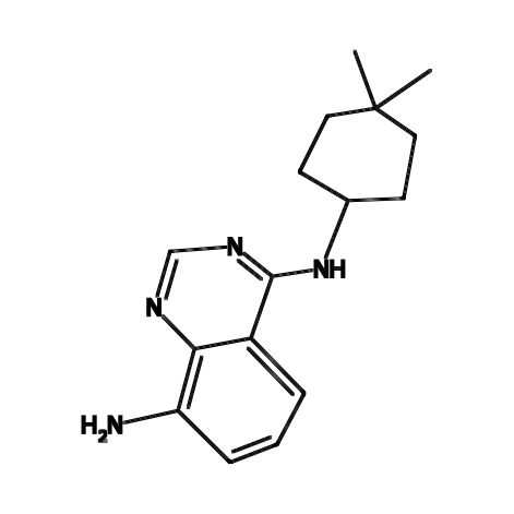 CC1(C)CCC(Nc2ncnc3c(N)cccc23)CC1